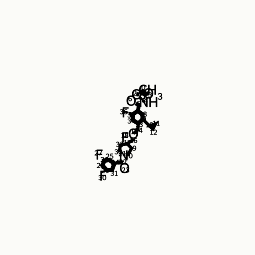 CS(=O)(=O)NC(=O)c1cc(C2CC2)c(COCC2(F)CCN(C(=O)c3cc(F)cc(F)c3)CC2)cc1F